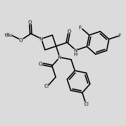 CC(C)(C)OC(=O)N1CC(C(=O)Nc2ccc(F)cc2F)(N(Cc2ccc(Cl)cc2)C(=O)CCl)C1